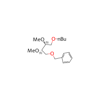 CCCCOC[C@H](OC)[C@H](COCc1ccccc1)OC